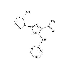 N#C[C@H]1CCC[C@@H]1n1cc(C(N)=O)c(Nc2ccccc2)n1